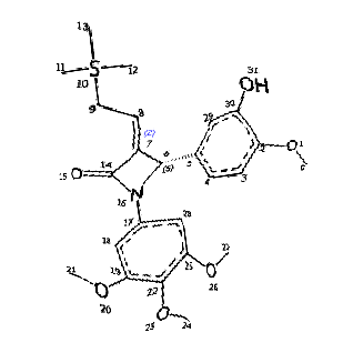 COc1ccc([C@H]2/C(=C/CS(C)(C)C)C(=O)N2c2cc(OC)c(OC)c(OC)c2)cc1O